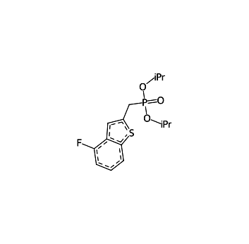 CC(C)OP(=O)(Cc1cc2c(F)cccc2s1)OC(C)C